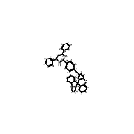 C1=CC2c3ccccc3C3(c4ccccc4Oc4ccc(-c5ccc(C6NC(c7ccccc7)=CC(c7ccccc7)N6)cc5)cc43)C2C=C1